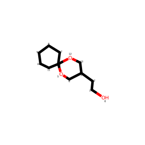 OCCC1COC2(CCCCC2)OC1